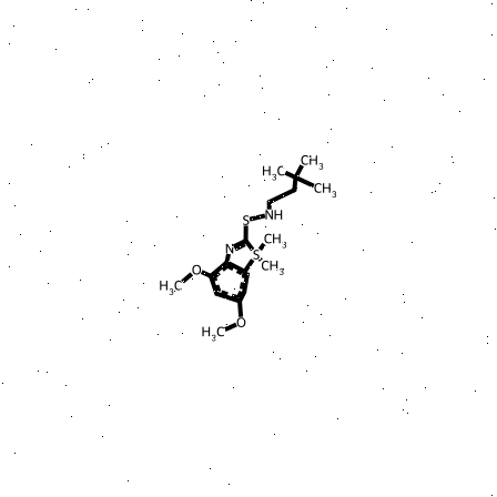 COc1cc(OC)c2c(c1)S(C)(C)C(SNCCC(C)(C)C)=N2